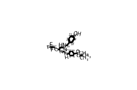 CC(C)(C)OC(=O)c1ccc(Nc2nc(NCc3ccc(O)cc3)cc(OCC(F)(F)F)n2)cc1